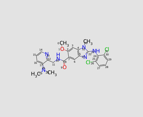 COc1cc2c(cc1C(=O)NCc1ncccc1N(C)C)nc(Nc1c(Cl)cccc1Cl)n2C